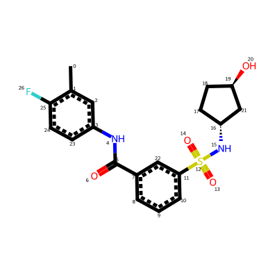 Cc1cc(NC(=O)c2cccc(S(=O)(=O)N[C@@H]3CC[C@@H](O)C3)c2)ccc1F